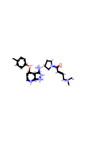 Cc1ccc(Oc2ccnc3[nH]nc(N[C@@H]4CCN(C(=O)/C=C/CN(C)C)C4)c23)cc1